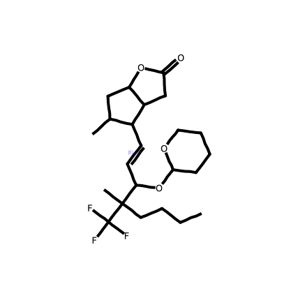 CCCCC(C)(C(/C=C/C1C(C)CC2OC(=O)CC21)OC1CCCCO1)C(F)(F)F